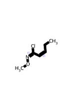 CC/C=C\C(Cl)=N/OC